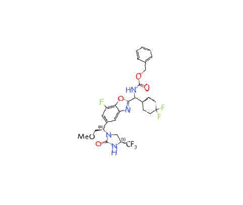 COC[C@@H](c1cc(F)c2oc(C(NC(=O)OCc3ccccc3)C3CCC(F)(F)CC3)nc2c1)N1C[C@@H](C(F)(F)F)NC1=O